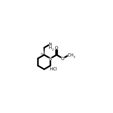 COC(=O)N1CCCC[C@H]1CN.Cl